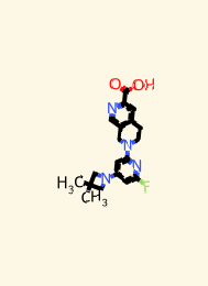 CC1(C)CN(c2cc(F)nc(N3CCc4cc(C(=O)O)ncc4C3)c2)C1